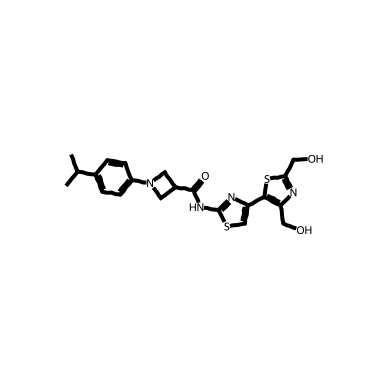 CC(C)c1ccc(N2CC(C(=O)Nc3nc(-c4sc(CO)nc4CO)cs3)C2)cc1